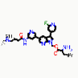 CC(C)CC(N)C(=O)OCn1cc(-c2ccnc(F)c2)c2cc(-c3cncc(NC(=O)C=CCN(C)C)c3)cnc21